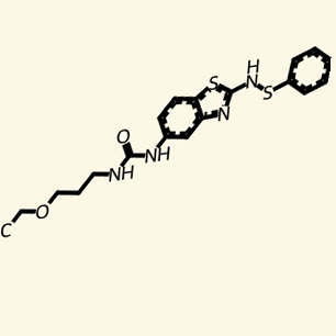 CCOCCCNC(=O)Nc1ccc2sc(NSc3ccccc3)nc2c1